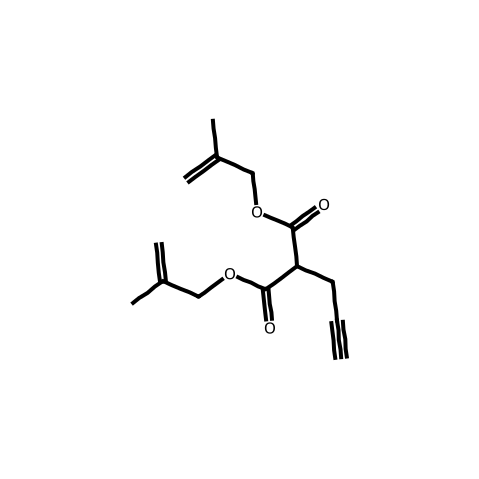 C#CCC(C(=O)OCC(=C)C)C(=O)OCC(=C)C